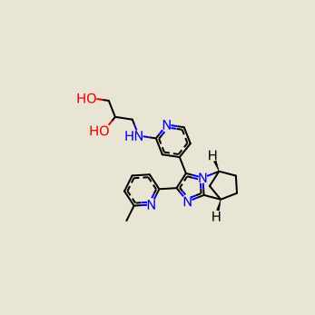 Cc1cccc(-c2nc3n(c2-c2ccnc(NCC(O)CO)c2)[C@@H]2CC[C@H]3C2)n1